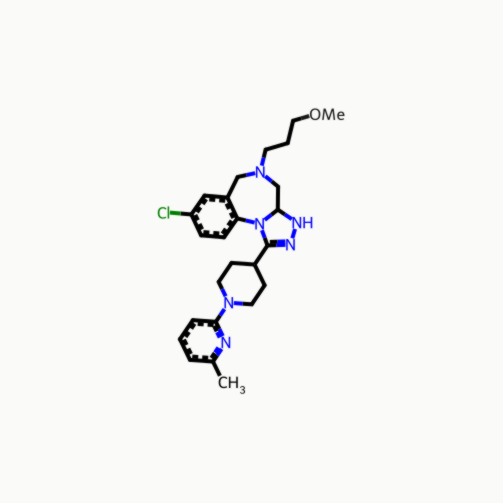 COCCCN1Cc2cc(Cl)ccc2N2C(C3CCN(c4cccc(C)n4)CC3)=NNC2C1